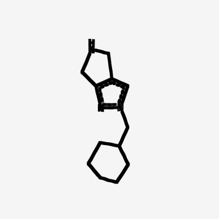 c1c2c(nn1CC1CCCCC1)CNC2